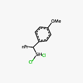 CCCC(c1ccc(OC)cc1)[SiH](Cl)Cl